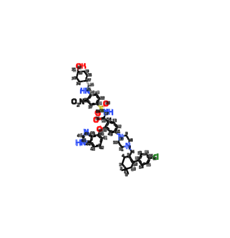 CC1(C)CCC(CN2CCN(c3ccc(C(=O)NS(=O)(=O)c4ccc(NC[C@H]5CC[C@](C)(O)CC5)c([N+](=O)[O-])c4)c(Oc4cccc5[nH]cnc45)c3)CC2)=C(c2ccc(Cl)cc2)C1